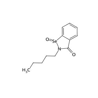 CCCCCN1C(=O)c2ccccc2[Se]1=O